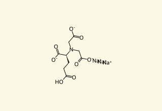 O=C([O-])CN(CC(=O)[O-])[C@@H](CCC(=O)O)C(=O)[O-].[Na+].[Na+].[Na+]